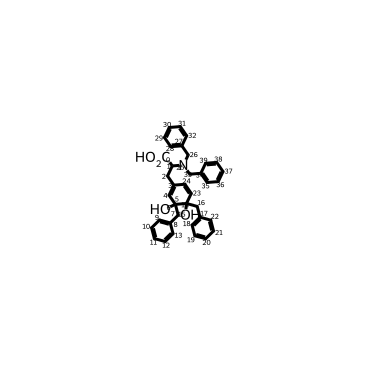 O=C(O)C(CC1=CC(O)(Cc2ccccc2)C(O)(Cc2ccccc2)C=C1)N(Cc1ccccc1)Cc1ccccc1